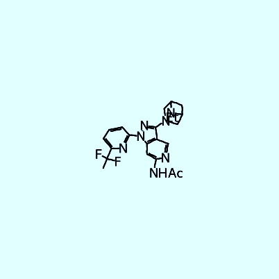 CCN1C2CC1CN(c1nn(-c3cccc(C(C)(F)F)n3)c3cc(NC(C)=O)ncc13)C2